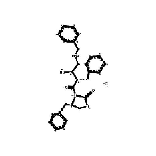 Cl.O=C1OC[C@@H](Cc2ccccc2)N1C(=O)[C@@H](Cc1ccccc1)[C@@H](O)CNCc1ccccc1